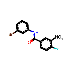 O=C(Nc1cccc(Br)c1)c1ccc(F)c([N+](=O)[O-])c1